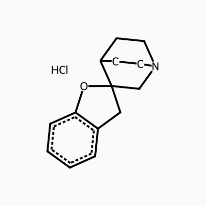 Cl.c1ccc2c(c1)CC1(CN3CCC1CC3)O2